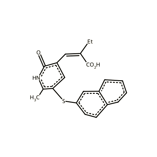 CCC(=Cc1cc(Sc2ccc3ccccc3c2)c(C)[nH]c1=O)C(=O)O